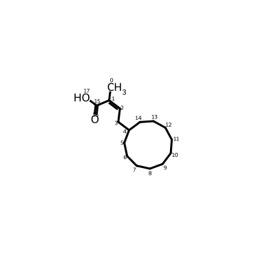 CC(=CCC1CCCCCCCCCC1)C(=O)O